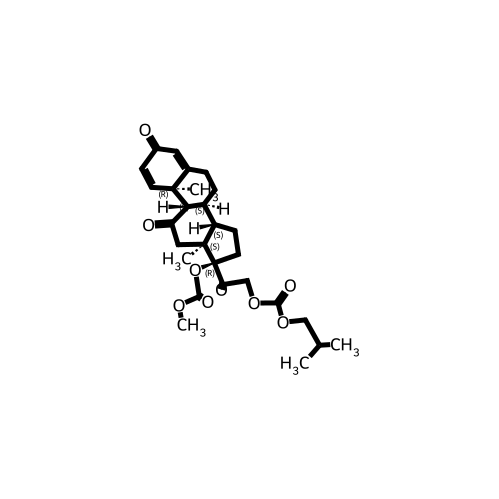 COC(=O)O[C@]1(C(=O)COC(=O)OCC(C)C)CC[C@H]2[C@@H]3CCC4=CC(=O)C=C[C@]4(C)[C@H]3C(=O)C[C@@]21C